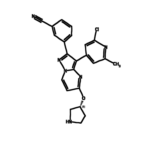 Cc1cc(-c2c(-c3cccc(C#N)c3)nn3ccc(O[C@@H]4CCNC4)nc23)cc(Cl)n1